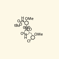 COc1ccc(Cl)cc1CC1CNC(=O)CN(S(=O)(=O)c2ccc(OC)c(NC(=O)OC(C)(C)C)c2)C1=O